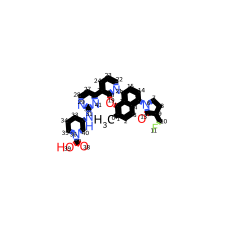 Cc1ccc2c(N3CCC(CF)C3=O)cccc2c1Oc1ncccc1-c1ccnc(NC2CCCN(C(=O)O)C2)n1